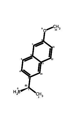 B[C@H](C)c1ccc2cc(OC)ccc2c1